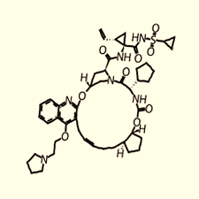 C=C[C@@H]1C[C@]1(NC(=O)[C@@H]1C[C@@H]2CN1C(=O)[C@H](C1CCCC1)NC(=O)O[C@@H]1CCC[C@H]1CCC=CCc1c(nc3ccccc3c1OCCN1CCCC1)O2)C(=O)NS(=O)(=O)C1CC1